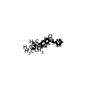 C[C@@H](N[S@+]([O-])C(C)(C)C)c1cc2cc(Cl)c(OCc3ccccn3)cc2nc1Cl